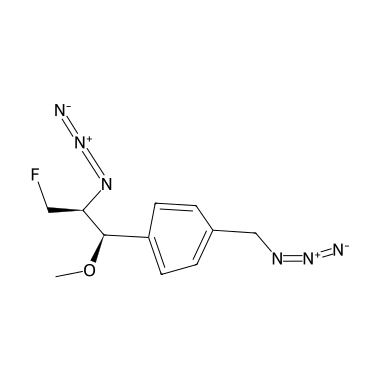 CO[C@H](c1ccc(CN=[N+]=[N-])cc1)[C@@H](CF)N=[N+]=[N-]